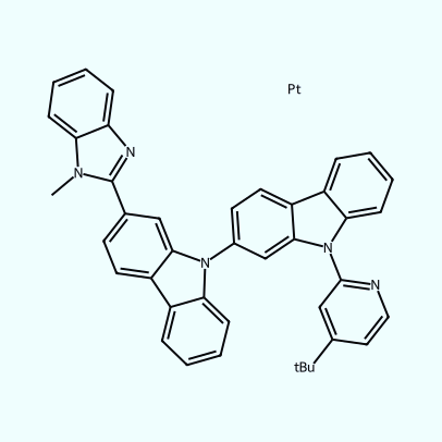 Cn1c(-c2ccc3c4ccccc4n(-c4ccc5c6ccccc6n(-c6cc(C(C)(C)C)ccn6)c5c4)c3c2)nc2ccccc21.[Pt]